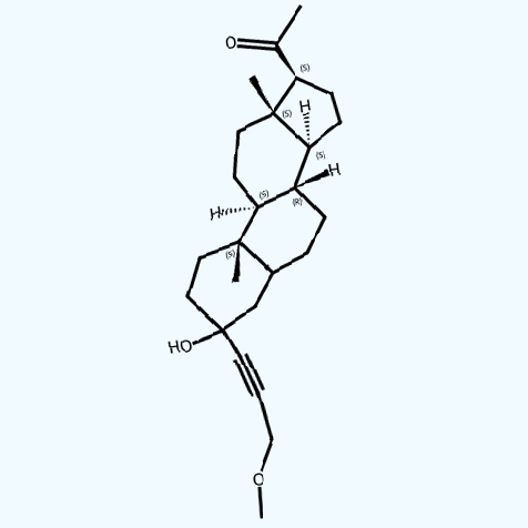 COCC#CC1(O)CC[C@@]2(C)C(CC[C@H]3[C@@H]4CC[C@H](C(C)=O)[C@@]4(C)CC[C@@H]32)C1